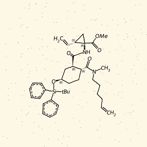 C=CCCCCN(C)C(=O)[C@@H]1CC[C@@H](O[Si](c2ccccc2)(c2ccccc2)C(C)(C)C)C[C@H]1C(=O)N[C@]1(C(=O)OC)C[C@H]1C=C